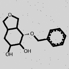 OC1CC2COCC2[C@H](OCc2ccccc2)C1O